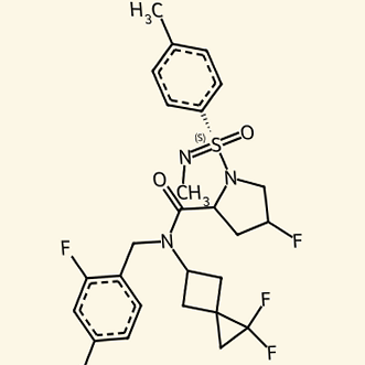 CN=[S@](=O)(c1ccc(C)cc1)N1CC(F)CC1C(=O)N(Cc1ccc(Cl)cc1F)C1CC2(C1)CC2(F)F